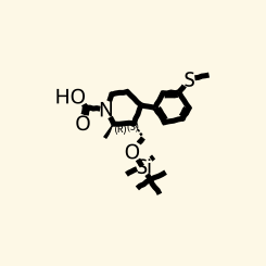 CSc1cccc(C2CCN(C(=O)O)[C@H](C)[C@H]2CO[Si](C)(C)C(C)(C)C)c1